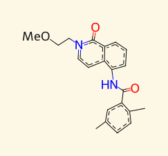 COCCn1ccc2c(NC(=O)c3cc(C)ccc3C)cccc2c1=O